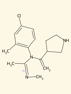 C=C(C1CCNC1)N(/C(C)=N\C)c1ccc(Cl)cc1C